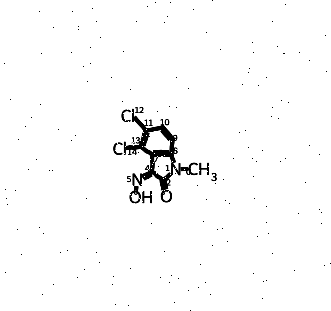 CN1C(=O)C(=NO)c2c1ccc(Cl)c2Cl